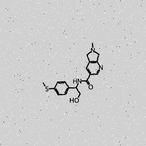 CSc1ccc(C(CO)NC(=O)c2cnc3c(c2)CN(C)C3)cc1